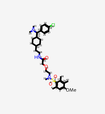 COc1cc(C)c(S(=O)(=O)N(C)CCOCC(=O)NCCC2CCC(C(c3ccc(Cl)cc3)N(C)C)CC2)c(C)c1C